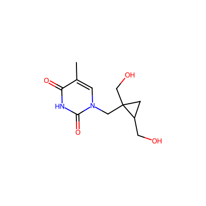 Cc1cn(CC2(CO)CC2CO)c(=O)[nH]c1=O